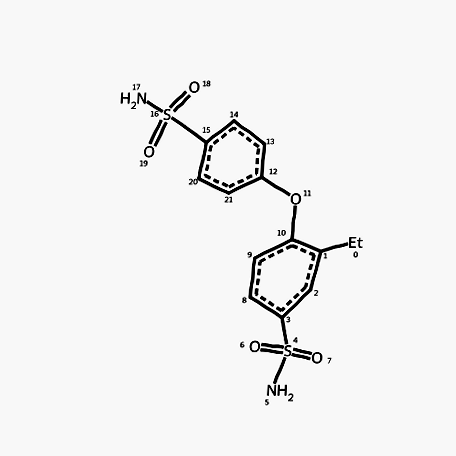 CCc1cc(S(N)(=O)=O)ccc1Oc1ccc(S(N)(=O)=O)cc1